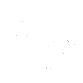 CCN(CC)c1nc(C(N)=O)cc(-c2ccc(S(=O)(=O)CC)cc2)n1